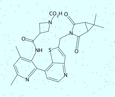 Cc1cc(C)c(NC(=O)C2CN(C(=O)O)C2)c(-c2ccnc3cc(CN4C(=O)C5C(C4=O)C5(C)C)sc23)n1